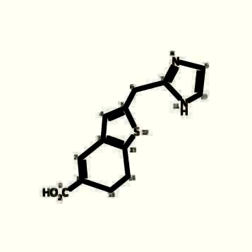 O=C(O)C1=Cc2cc(Cc3ncc[nH]3)sc2CC1